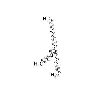 CCCCCCCCC=CCCCCCCC(CCCCCCCCCC)C(=O)OCCCCCC